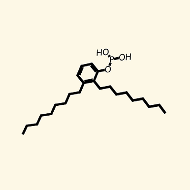 CCCCCCCCCc1cccc(OP(O)O)c1CCCCCCCCC